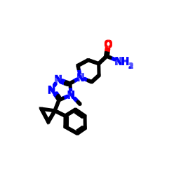 Cn1c(N2CCC(C(N)=O)CC2)nnc1C1(c2ccccc2)CC1